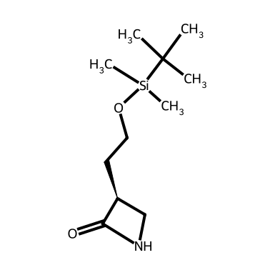 CC(C)(C)[Si](C)(C)OCC[C@H]1CNC1=O